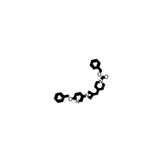 O=C(OCc1ccccc1)N1CCC(CC2CN(c3ccc(OCc4ccccc4)nc3)C2)CC1